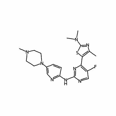 Cc1nc(N(C)C)sc1-c1nc(Nc2ccc(N3CCN(C)CC3)cn2)ncc1F